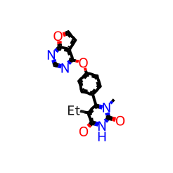 CCc1c(-c2ccc(Oc3ncnc4occc34)cc2)n(C)c(=O)[nH]c1=O